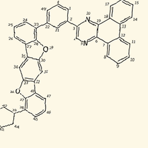 c1cc(-c2cnc3c4ccccc4c4ccccc4c3n2)cc(-c2cccc3c2oc2cc4c(cc23)oc2c(C3CCCCC3)cccc24)c1